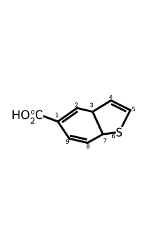 O=C(O)C1=CC2C=CSC2C=C1